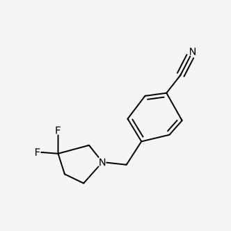 N#Cc1ccc(CN2CCC(F)(F)C2)cc1